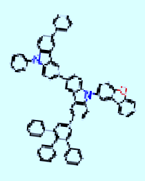 c1ccc(-c2ccc3c(c2)c2cc(-c4ccc5c(c4)c4cc(-c6cc(-c7ccccc7)c(-c7ccccc7)c(-c7ccccc7)c6)ccc4n5-c4ccc5oc6ccccc6c5c4)ccc2n3-c2ccccc2)cc1